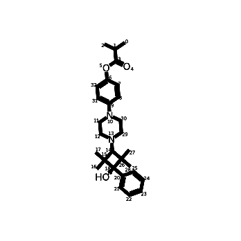 CC(C)C(=O)Oc1ccc(N2CCN(C3C(C)(C)C(O)(c4ccccc4)C3(C)C)CC2)cc1